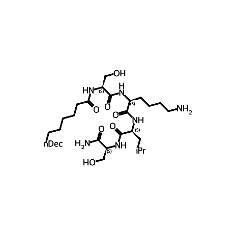 CCCCCCCCCCCCCCCC(=O)N[C@@H](CO)C(=O)N[C@@H](CCCCN)C(=O)N[C@@H](CC(C)C)C(=O)N[C@@H](CO)C(N)=O